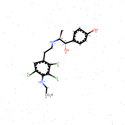 C[C@H](NCCc1cc(Cl)c(NCC(=O)O)c(Cl)c1Cl)[C@@H](O)c1ccc(O)cc1